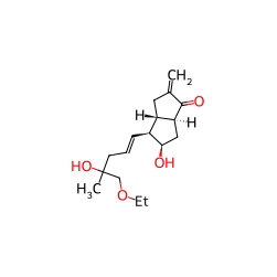 C=C1C[C@H]2[C@H](/C=C/CC(C)(O)COCC)[C@H](O)C[C@@H]2C1=O